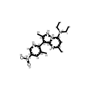 CCN(CC)c1cc(C)nc2c(-c3ncc([N+](=O)[O-])cc3C)c(C)nn12